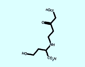 CCCCCCCCCC(=O)CCNC(CCO)C(=O)O